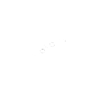 CCCCCCCCOc1ccc(C(=O)Oc2ccc([C@H]3COC(CC[Si](C)(C)[C@H](C)CC)C3)cc2)cc1